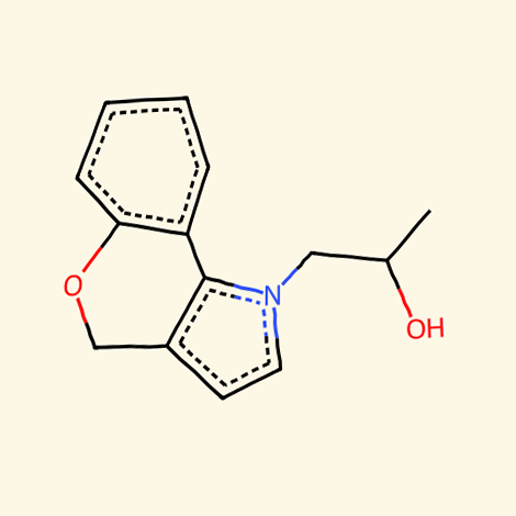 CC(O)Cn1ccc2c1-c1ccccc1OC2